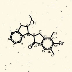 COC1Cc2ccccc2C1C1Cc2c(cc(C)c(Br)c2C)C1=O